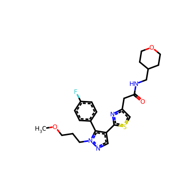 COCCCn1ncc(-c2nc(CC(=O)NCC3CCOCC3)cs2)c1-c1ccc(F)cc1